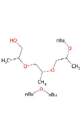 CCCCOC(C)COC(C)COC(C)CO.CCCCOCCCC